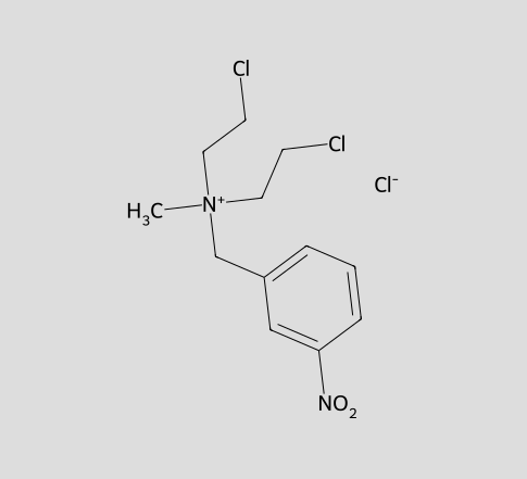 C[N+](CCCl)(CCCl)Cc1cccc([N+](=O)[O-])c1.[Cl-]